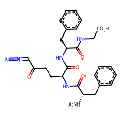 CC(=O)N[C@@H](Cc1ccccc1)C(=O)N[C@@H](CCC(=O)C=[N+]=[N-])C(=O)N[C@@H](Cc1ccccc1)C(=O)NCC(=O)O